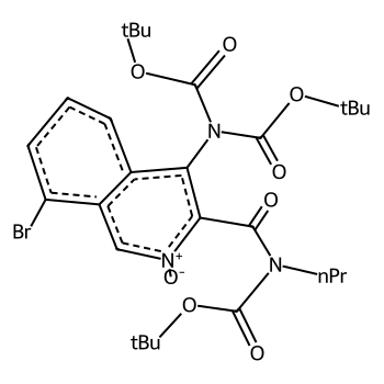 CCCN(C(=O)OC(C)(C)C)C(=O)c1c(N(C(=O)OC(C)(C)C)C(=O)OC(C)(C)C)c2cccc(Br)c2c[n+]1[O-]